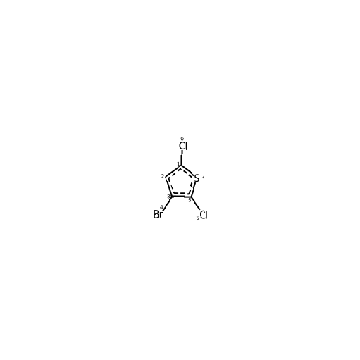 Clc1cc(Br)c(Cl)s1